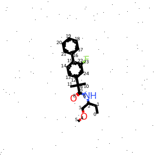 CCC(COC)NC(=O)C(C)(C)c1ccc(-c2ccccc2)c(F)c1